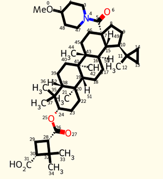 COC1CCN(C(=O)[C@]23CC[C@@H](C4(C)CC4)[C@@H]2[C@H]2CC[C@@H]4[C@@]5(C)CC[C@H](OC(=O)[C@H]6C[C@@H](C(=O)O)C6(C)C)C(C)(C)[C@@H]5CC[C@@]4(C)[C@]2(C)CC3)CC1